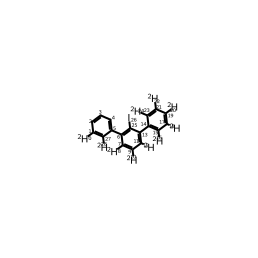 [2H]c1cccc(-c2c([2H])c([2H])c([2H])c(-c3c([2H])c([2H])c([2H])c([2H])c3[2H])c2I)c1[2H]